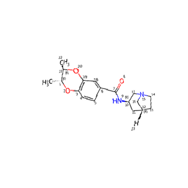 C[C@H]1Oc2ccc(C(=O)N[C@@H]3C[C@H]4CCN(C4)C3)cc2O[C@@H]1C